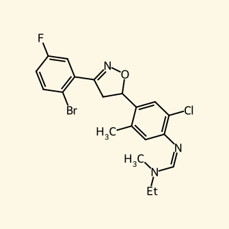 CCN(C)/C=N\c1cc(C)c(C2CC(c3cc(F)ccc3Br)=NO2)cc1Cl